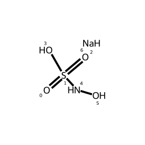 O=S(=O)(O)NO.[NaH]